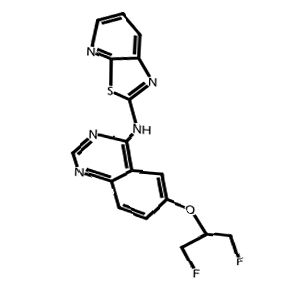 FCC(CF)Oc1ccc2ncnc(Nc3nc4cccnc4s3)c2c1